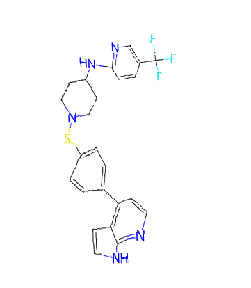 FC(F)(F)c1ccc(NC2CCN(Sc3ccc(-c4ccnc5[nH]ccc45)cc3)CC2)nc1